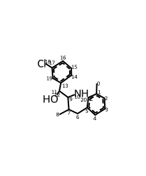 Cc1cccc(CC(C)C(N)C(O)c2cccc(Cl)c2)c1